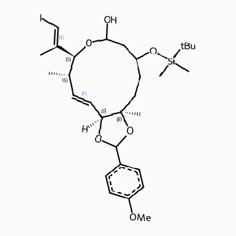 COc1ccc(C2O[C@H]3/C=C/[C@H](C)[C@@H](/C(C)=C/I)OC(O)CC(O[Si](C)(C)C(C)(C)C)CC[C@@]3(C)O2)cc1